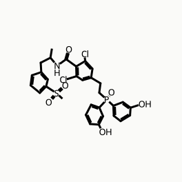 CC(Cc1cccc(S(C)(=O)=O)c1)NC(=O)c1c(Cl)cc(CCP(=O)(c2cccc(O)c2)c2cccc(O)c2)cc1Cl